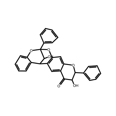 O=C1c2cc3c(cc2OC(c2ccccc2)C1O)OC1(c2ccccc2)Oc2ccccc2C3C1O